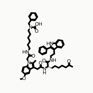 COc1ccc2c(c1)c(CC(=O)N[C@@H](CCCCCC(C)=O)C(=O)NCCc1c(-c3ccccc3)[nH]c3ccccc13)c(C)n2CC(=O)NCCCCCCN(Cc1ccccc1)C(=O)O